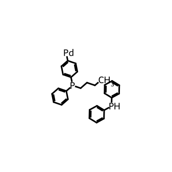 CCCCP(c1ccccc1)c1cc[c]([Pd])cc1.c1ccc(Pc2ccccc2)cc1